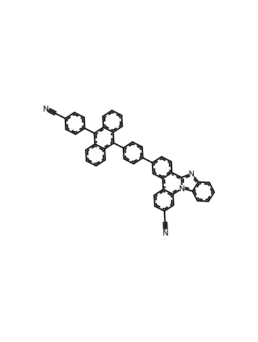 N#Cc1ccc(-c2c3ccccc3c(-c3ccc(-c4ccc5c(c4)c4ccc(C#N)cc4n4c6ccccc6nc54)cc3)c3ccccc23)cc1